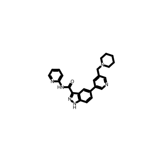 O=C(Nc1ccccn1)c1n[nH]c2ccc(-c3cncc(CN4CCCCC4)c3)cc12